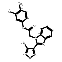 Nc1nonc1-c1nc2ccccc2n1CC(=O)Nc1ccc([N+](=O)[O-])c(Cl)c1